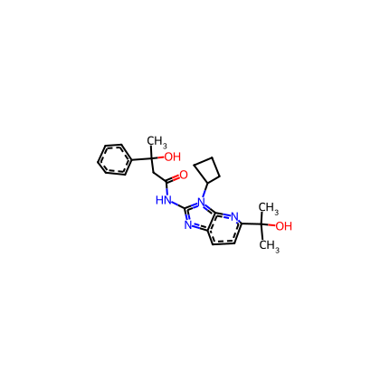 CC(C)(O)c1ccc2nc(NC(=O)CC(C)(O)c3ccccc3)n(C3CCC3)c2n1